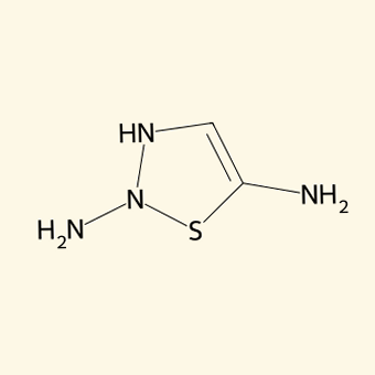 NC1=CNN(N)S1